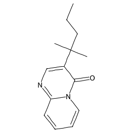 CCCC(C)(C)c1cnc2ccccn2c1=O